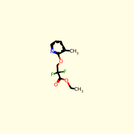 CCOC(=O)C(F)(F)COc1ncccc1C